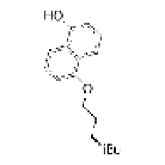 CC[C@H](C)CCCOc1cccc2c(O)cccc12